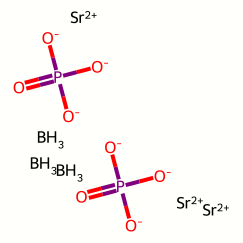 B.B.B.O=P([O-])([O-])[O-].O=P([O-])([O-])[O-].[Sr+2].[Sr+2].[Sr+2]